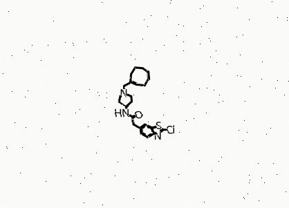 O=C(Cc1ccc2nc(Cl)sc2c1)NC1CCN(CC2=CCCCCCC2)CC1